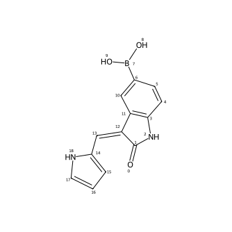 O=C1Nc2ccc(B(O)O)cc2C1=Cc1ccc[nH]1